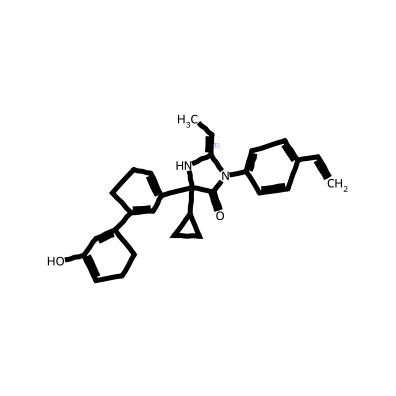 C=Cc1ccc(N2C(=O)C(C3=CCCC(C4=CC(O)=CCC4)=C3)(C3CC3)N/C2=C\C)cc1